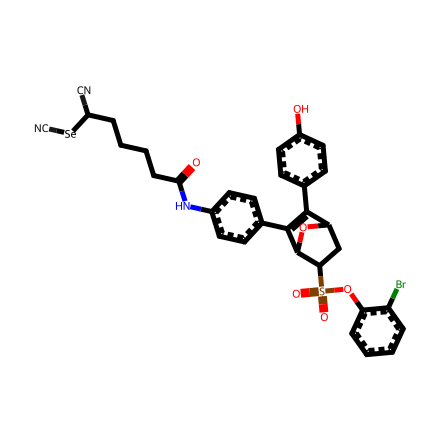 N#C[Se]C(C#N)CCCCC(=O)Nc1ccc(C2=C(c3ccc(O)cc3)C3CC(S(=O)(=O)Oc4ccccc4Br)C2O3)cc1